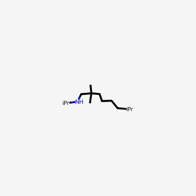 CC(C)CCCCC(C)(C)CNC(C)C